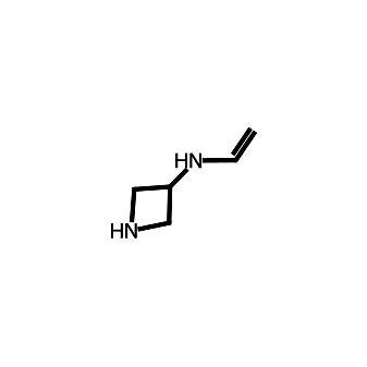 C=CNC1CNC1